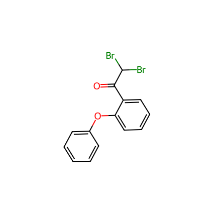 O=C(c1ccccc1Oc1ccccc1)C(Br)Br